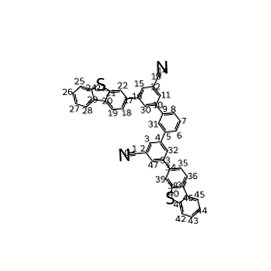 N#Cc1cc(-c2cccc(-c3cc(C#N)cc(-c4ccc5c(c4)sc4ccccc45)c3)c2)cc(-c2ccc3c(c2)sc2ccccc23)c1